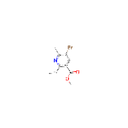 C=Cc1nc(C)c(Br)cc1C(=O)OC